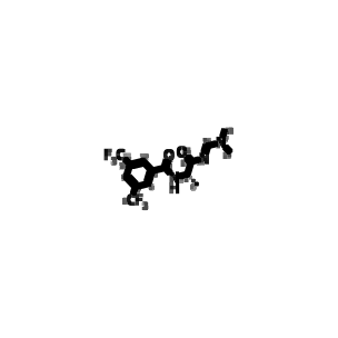 C[C@H](NC(=O)c1cc(C(F)(F)F)cc(C(F)(F)F)c1)C(=O)N=CN(C)C